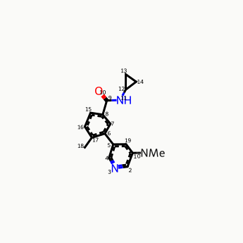 CNc1cncc(-c2cc(C(=O)NC3CC3)ccc2C)c1